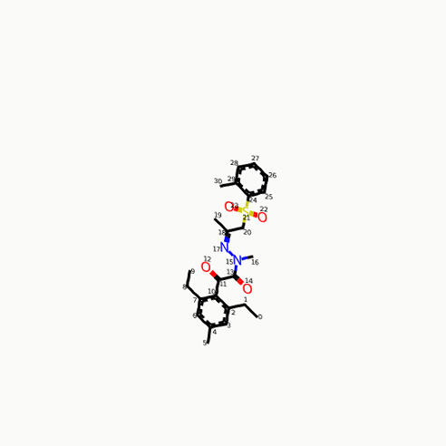 CCc1cc(C)cc(CC)c1C(=O)C(=O)N(C)N=C(C)CS(=O)(=O)c1ccccc1C